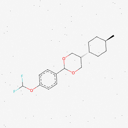 C[C@H]1CC[C@H](C2COC(c3ccc(OC(F)F)cc3)OC2)CC1